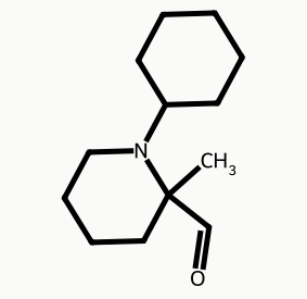 CC1(C=O)CCCCN1C1CCCCC1